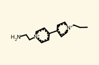 CCC[n+]1ccc(-c2cc[n+](CCN)cc2)cc1